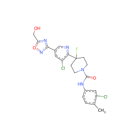 Cc1ccc(NC(=O)N2CCC(F)(c3ncc(-c4noc(CO)n4)cc3Cl)CC2)cc1Cl